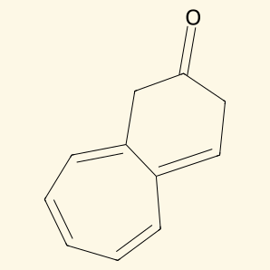 O=C1CC=C2C=CC=CC=C2C1